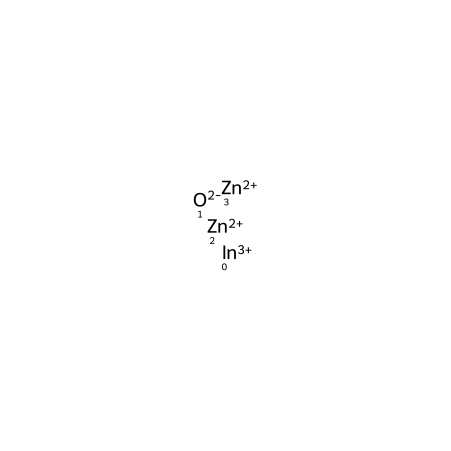 [In+3].[O-2].[Zn+2].[Zn+2]